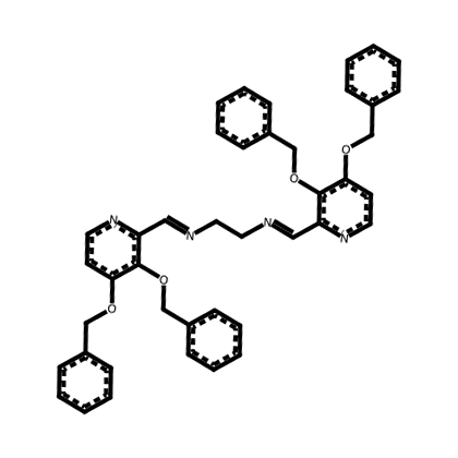 C(=NCCN=Cc1nccc(OCc2ccccc2)c1OCc1ccccc1)c1nccc(OCc2ccccc2)c1OCc1ccccc1